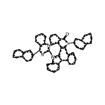 O=c1c2ccccc2c2c(c3ccccc3c3c4ccccc4n(-c4nc(-c5ccc6ccccc6c5)c5ccccc5n4)c32)n1-c1ccc2ccccc2c1